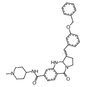 CN1CCC(NC(=O)c2ccc3c(c2)NC2/C(=C/c4cccc(OCc5ccccc5)c4)CCN2C3=O)CC1